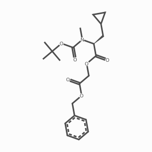 CN(C(=O)OC(C)(C)C)[C@@H](CC1CC1)C(=O)OCC(=O)OCc1ccccc1